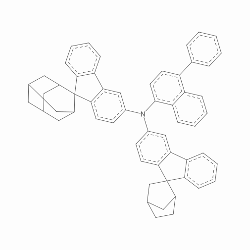 c1ccc(-c2ccc(N(c3ccc4c(c3)-c3ccccc3C43CC4CCC3C4)c3ccc4c(c3)-c3ccccc3C43C4CC5CC(C4)CC3C5)c3ccccc23)cc1